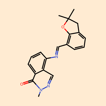 Cn1ncc2c(N=Cc3cccc4c3OC(C)(C)C4)cccc2c1=O